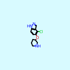 Clc1c(OC2CCCNC2)ccc2[nH]ncc12